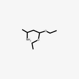 CCOC(CC(C)N)OCC